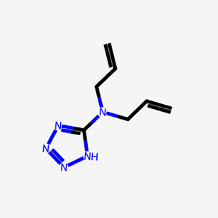 C=CCN(CC=C)c1nnn[nH]1